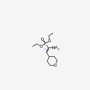 CCOP(=O)(OCC)/C(N)=C/C1CCOCC1